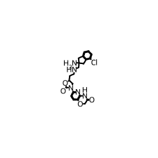 NC1(CNCCC2CN(c3ccc4c(n3)NC(=O)CO4)C(=O)O2)Cc2cccc(Cl)c2C1